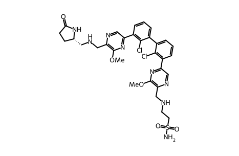 COc1nc(-c2cccc(-c3cccc(-c4cnc(CNC[C@@H]5CCC(=O)N5)c(OC)n4)c3Cl)c2Cl)cnc1CNCCS(N)(=O)=O